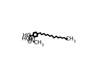 CCCCCCCCCCCCCCCc1ccc(C(O)P(=O)(O)OCC)cc1